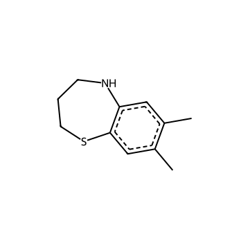 Cc1cc2c(cc1C)SCCCN2